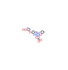 COC(=O)[C@@H](C)Cn1c(=O)[nH]/c(=N\c2ccc(Oc3ccnc(O)c3)cc2)n(Cc2ccc(C)cc2)c1=O